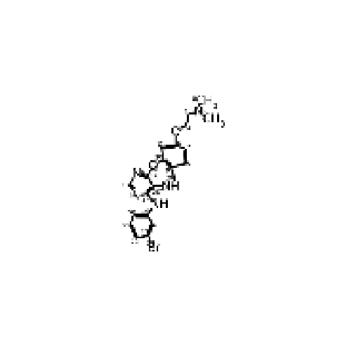 CN(C)CCOc1ccc2c(c1)Oc1ncnc(Nc3cccc(Br)c3)c1NC2